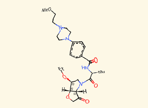 CCO[C@H]1CN(C(=O)C(NC(=O)c2ccc(N3CCN(CCOC)CC3)cc2)C(C)(C)C)[C@@H]2C(=O)CO[C@H]12